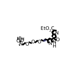 CCOC(=O)c1cnc2c(c1)C[C@@]1(C2)C(=O)Nc2ncc(/C=C/COCCOCCOCCN(C)C(=O)OC(C)(C)C)cc21